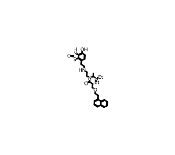 CCN(CC)C(C)N(CCNCCc1ccc(O)c2[nH]c(=O)sc12)C(=O)CCOCCc1cccc2ccccc12